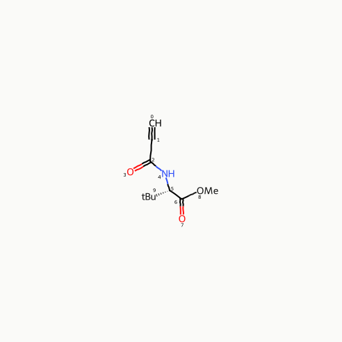 C#CC(=O)N[C@H](C(=O)OC)C(C)(C)C